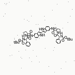 CC(C)(C)OC(=O)N[C@@H](C(=O)N1CCCC1C(=O)Nc1ccc2[nH]c(-c3cc4cc(NC(=O)C5CCCN5C(=O)[C@H](NC(=O)OC(C)(C)C)c5ccccc5)ccc4[nH]3)cc2c1)c1ccccc1